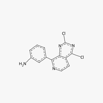 Nc1cccc(-c2nccc3c(Cl)nc(Cl)nc23)c1